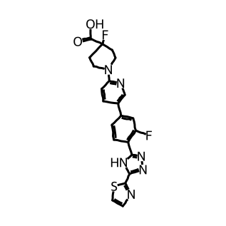 O=C(O)C1(F)CCN(c2ccc(-c3ccc(-c4nnc(-c5nccs5)[nH]4)c(F)c3)cn2)CC1